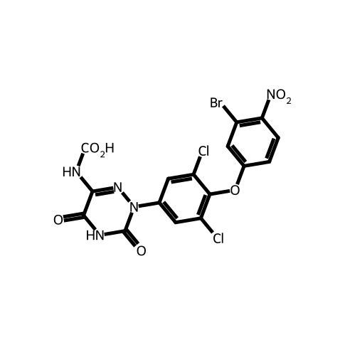 O=C(O)Nc1nn(-c2cc(Cl)c(Oc3ccc([N+](=O)[O-])c(Br)c3)c(Cl)c2)c(=O)[nH]c1=O